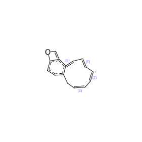 [C]1=C\C=C/Cc2ccc3c(/c2=C/C=C/1)=CO3